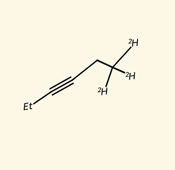 [2H]C([2H])([2H])CC#CCC